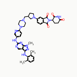 Cc1cccc(C)c1Nc1nn(C)c2nc(Nc3ccc(N4CCN(CC5CCN(c6ccc7c(c6)C(=O)N(C6CCC(=O)NC6=O)C7=O)C5)CC4)nc3)ncc12